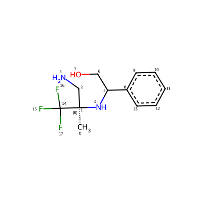 C[C@](CN)(NC(CO)c1ccccc1)C(F)(F)F